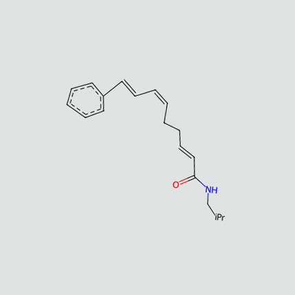 CC(C)CNC(=O)/C=C/CC/C=C\C=Cc1ccccc1